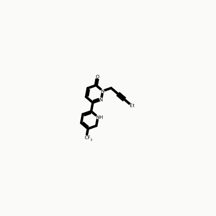 CCC#CCn1nc(C2=CC=C(C(F)(F)F)CN2)ccc1=O